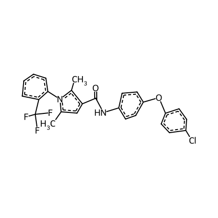 Cc1cc(C(=O)Nc2ccc(Oc3ccc(Cl)cc3)cc2)c(C)n1-c1ccccc1C(F)(F)F